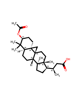 CC(=O)O[C@H]1CC[C@]23C[C@]24CC[C@]2(C)[C@@H]([C@H](C)CC(=O)O)CC[C@@]2(C)[C@@H]4CC[C@H]3C1(C)C